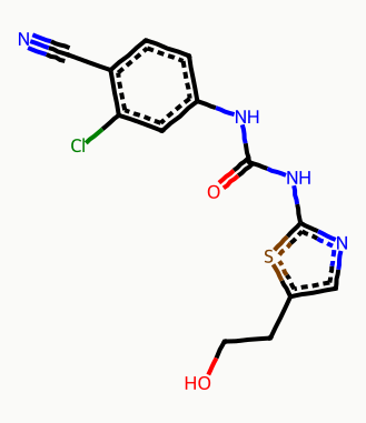 N#Cc1ccc(NC(=O)Nc2ncc(CCO)s2)cc1Cl